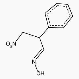 O=[N+]([O-])CC(C=NO)c1ccccc1